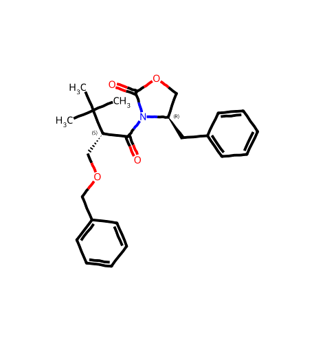 CC(C)(C)[C@@H](COCc1ccccc1)C(=O)N1C(=O)OC[C@H]1Cc1ccccc1